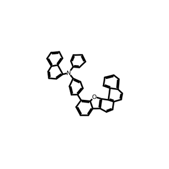 c1ccc(N(c2ccc(-c3cccc4c3oc3c4ccc4ccc5ccccc5c43)cc2)c2cccc3ccccc23)cc1